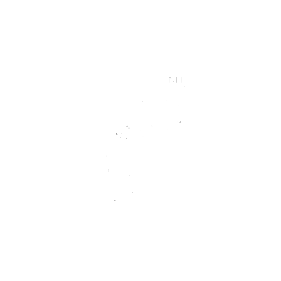 NCc1ccccc1-c1ccccc1C(=O)NCCc1ccccc1